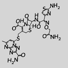 Cc1cc(SCC2=C(C(=O)O)N3C(=O)[C@@H](NC(=O)/C(=N\OCC(N)=O)c4csc(N)n4)[C@H]3SC2)n2nc(C(N)=O)nc2n1